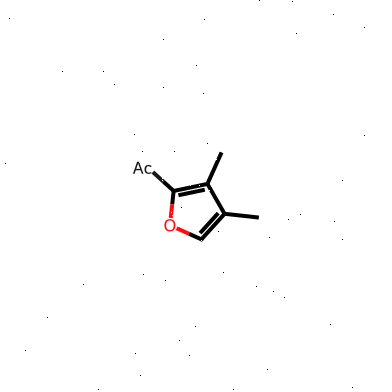 CC(=O)c1occ(C)c1C